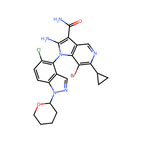 NC(=O)c1c(N)n(-c2c(Cl)ccc3c2cnn3C2CCCCO2)c2c(Br)c(C3CC3)ncc12